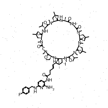 CC[C@@H]1NC(=O)[C@H]([C@H](I)[C@H](C)C/C=C/CCC(=O)Nc2ccc(NCc3ccc(F)cc3)nc2N)N(C)C(=O)[C@H](C(C)C)N(C)C(=O)[C@H](CC(C)C)N(C)C(=O)[C@H](CC(C)C)N(C)C(=O)[C@@H](C)NC(=O)[C@H](C)NC(=O)[C@H](CC(C)C)N(C)C(=O)[C@H](C(C)C)NC(=O)[C@H](CC(C)C)N(C)C(=O)CN(C)C1=O